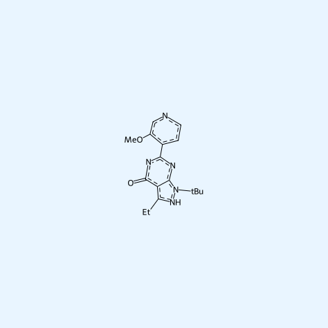 CCc1[nH]n(C(C)(C)C)c2nc(-c3ccncc3OC)nc(=O)c1-2